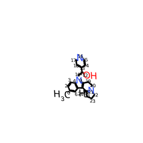 Cc1ccc2c(c1)c1c(n2CC(O)c2ccncc2)CCN2CCC[C@H]12